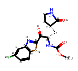 CC(C)(C)OC(=O)N[C@@H](C[C@@H]1CCNC1=O)C(=O)c1nc2cc(F)ccc2s1